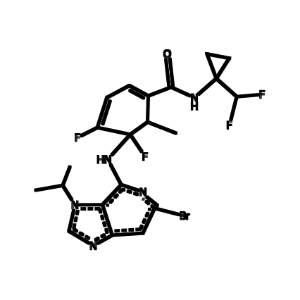 CC(C)n1cnc2cc(Br)nc(NC3(F)C(F)=CC=C(C(=O)NC4(C(F)F)CC4)C3C)c21